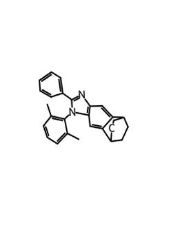 Cc1cccc(C)c1-n1c(-c2ccccc2)nc2cc3c(cc21)C1CCC3CC1